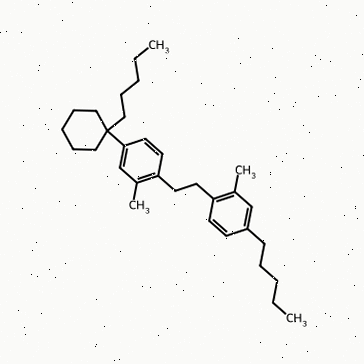 CCCCCc1ccc(CCc2ccc(C3(CCCCC)CCCCC3)cc2C)c(C)c1